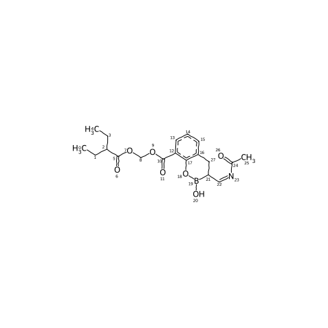 CCC(CC)C(=O)OCOC(=O)c1cccc2c1OB(O)C(/C=N\C(C)=O)C2